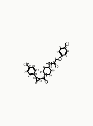 O=C(COc1ccc(Cl)cc1)NC1CCN(C(=O)C2CC2c2ccc(Cl)cc2)CC1